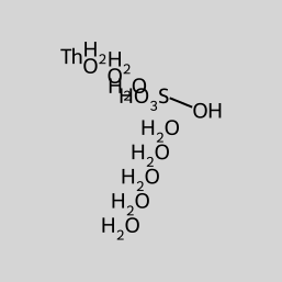 O.O.O.O.O.O.O.O.O=S(=O)(O)O.[Th]